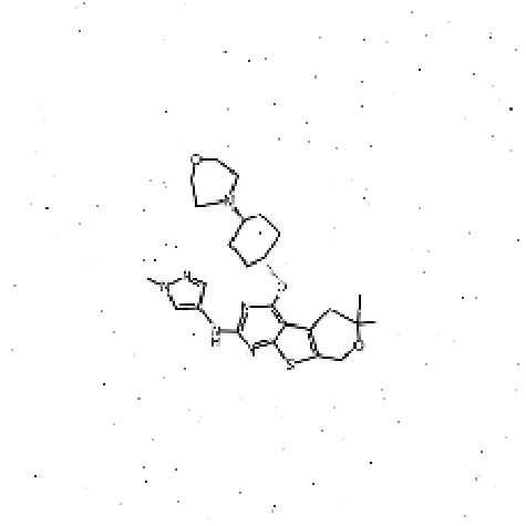 Cn1cc(Nc2nc(O[C@H]3CC[C@H](N4CCOCC4)CC3)c3c4c(sc3n2)COC(C)(C)C4)cn1